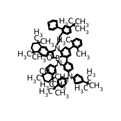 Cc1cccc(C)c1-c1cc2c3c(c1)N(CCCc1ccc(C(C)(C)C)cc1-c1ccccc1)c1c(oc4cc5c(cc14)C(C)(C)CCC5(C)C)B3N(c1ccc3c(c1)C(C)(C)CCC3(C)C)c1cc(N(c3ccc(C(C)(C)C)cc3)c3ccc(C(C)(C)C)cc3)ccc1-2